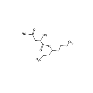 CCCCC(CCC)OC(=O)C(O)CC(=O)O